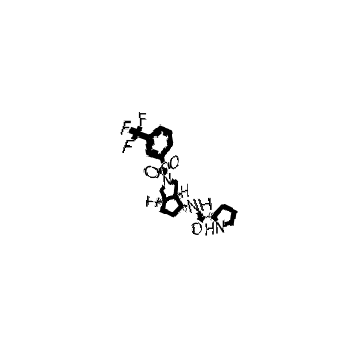 O=C(N[C@@H]1CC[C@H]2CN(S(=O)(=O)c3cccc(C(F)(F)F)c3)C[C@H]21)[C@@H]1CCCN1